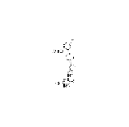 COc1ccc(F)cc1C1CCN([C@@H]2CCC3(C2)CN(c2cc(Cl)nnc2Cl)C3)CC1